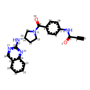 C#CC(=O)Nc1ccc(C(=O)N2CC[C@H](Nc3ncc4ccccc4n3)C2)cc1